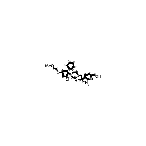 COCCOc1ccc(N2CCN(C[C@@](C)(O)c3ccc(CO)nc3)C[C@H]2c2ccccc2)c(Cl)c1